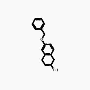 OC1CCc2cc(OCc3ccccc3)ccc2C1